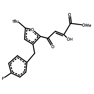 COC(=O)C(O)=CC(=O)c1oc(C(C)(C)C)cc1Cc1ccc(F)cc1